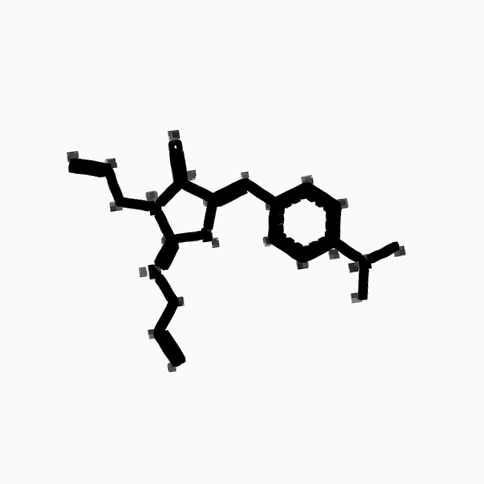 C=CC/N=C1\S/C(=C\c2ccc(N(C)C)cc2)C(=O)N1CC=C